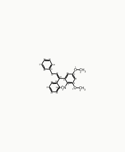 COc1cc(OC)c(N)c(C(=CCc2ccccc2)c2ccccc2)c1